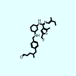 CC/C(C)=C/N=C(/NC1CCCC(NCc2ccc(CC(C)CCC=O)cc2)C1)c1cc(CF)sc1C